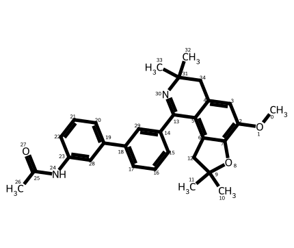 COc1cc2c(c3c1OC(C)(C)C3)C(c1cccc(-c3cccc(NC(C)=O)c3)c1)=NC(C)(C)C2